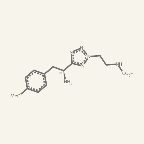 COc1ccc(C[C@H](N)c2nnn(CCNC(=O)O)n2)cc1